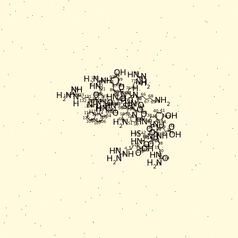 N=C(N)NCCC[C@H](NC(=O)[C@H](CS)NC(=O)[C@H](CCCNC(N)=O)NC(=O)[C@H](CCC(=O)O)NC(=O)[C@H](Cc1ccc(O)cc1)NC(=O)[C@@H]1CCCN1C(=O)[C@@H](CCCCN)NC(=O)[C@H](CCCCN)NC(=O)[C@H](CCCNC(=N)N)NC(=O)[C@H](Cc1ccc(O)cc1)NC(=O)[C@H](CS)NC(=O)[C@H](Cc1ccc2ccccc2c1)NC(=O)[C@H](CCCNC(=N)N)NC(=O)[C@@H](N)CCCNC(=N)N)C(=O)O